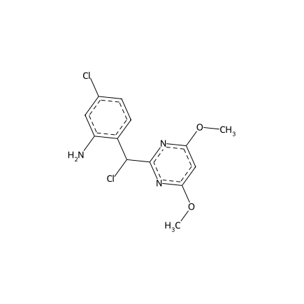 COc1cc(OC)nc(C(Cl)c2ccc(Cl)cc2N)n1